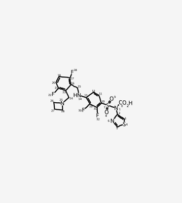 O=C(O)N(c1cscn1)S(=O)(=O)c1ccc(NCc2c(F)ccc(F)c2CN2CCC2)c(F)c1F